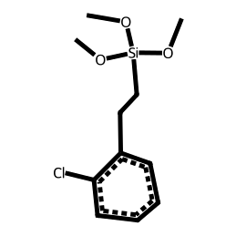 CO[Si](CCc1ccccc1Cl)(OC)OC